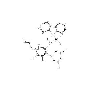 C[C@@H]1CN(c2c(CO[Si](c3ccccc3)(c3ccccc3)C(C)(C)C)nc(CC=O)c(F)c2Cl)C[C@H](C)O1